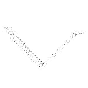 CC(=O)[O-].CC(=O)[O-].CC(=O)[O-].CC(=O)[O-].CC(=O)[O-].CC(=O)[O-].CC(=O)[O-].CC(=O)[O-].CC(=O)[O-].CC(=O)[O-].CC(=O)[O-].CC(=O)[O-].CC(=O)[O-].CC(=O)[O-].CC(=O)[O-].CC(=O)[O-].CC(=O)[O-].CC(=O)[O-].CC(=O)[O-].CC(=O)[O-].CC(=O)[O-].CC(=O)[O-].[Au+3].[Ba+2].[Ca+2].[Fe+2].[K+].[Ni+2].[Pd+2].[Re+4].[Ti+4]